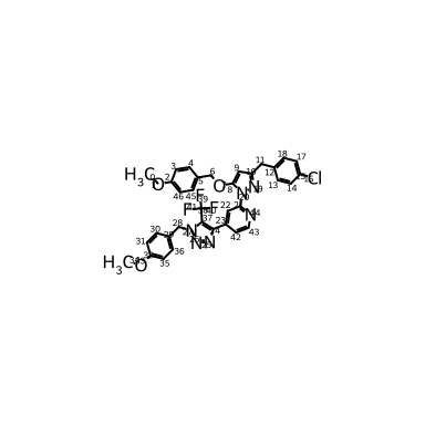 COc1ccc(COc2cc(Cc3ccc(Cl)cc3)nn2-c2cc(-c3nnn(Cc4ccc(OC)cc4)c3C(F)(F)F)ccn2)cc1